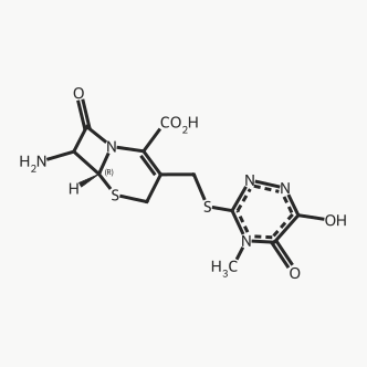 Cn1c(SCC2=C(C(=O)O)N3C(=O)C(N)[C@H]3SC2)nnc(O)c1=O